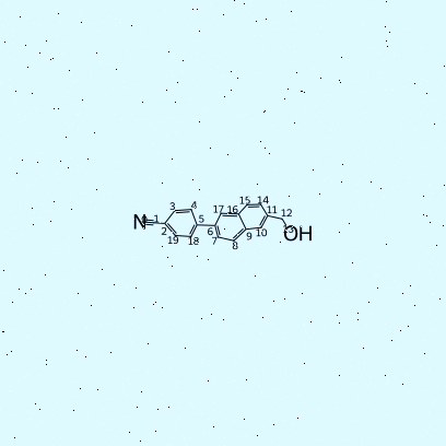 N#Cc1ccc(-c2ccc3cc(CO)ccc3c2)cc1